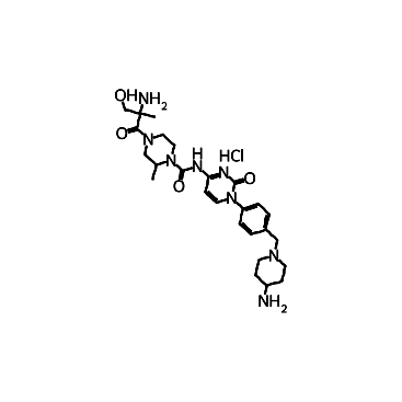 CC1CN(C(=O)C(C)(N)CO)CCN1C(=O)Nc1ccn(-c2ccc(CN3CCC(N)CC3)cc2)c(=O)n1.Cl